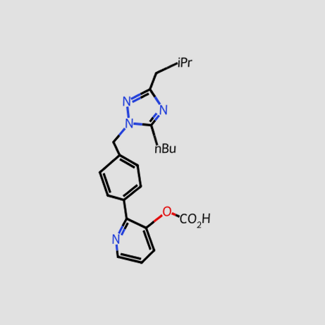 CCCCc1nc(CC(C)C)nn1Cc1ccc(-c2ncccc2OC(=O)O)cc1